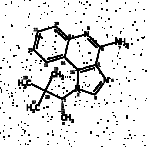 C[C@@H](n1cnc2c(N)nc3ccccc3c21)C(C)(C)C